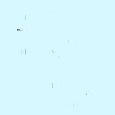 CC(C)(C)c1ccc(Cc2ccc3c(c2)[C@]2(OC3)S[C@H](CO)[C@@H](O)[C@H](O)[C@H]2O)cc1